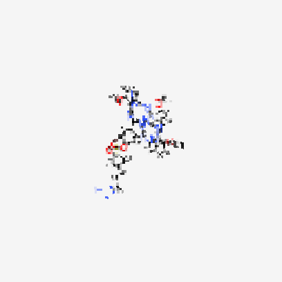 CCOc1cccc2c1-c1nc3[nH]c(nc4[n+]5c(nc6[nH]c(nc-2[n+]15)c1c(OCC)cccc61)-c1cc(OS(=O)(=O)c2ccc(CCCN)cc2)ccc1-4)c1c(OCC)cccc31